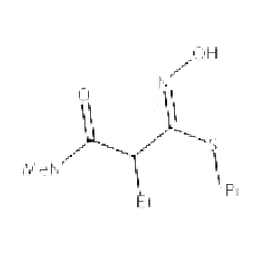 CCCS/C(=N\O)C(CC)C(=O)NC